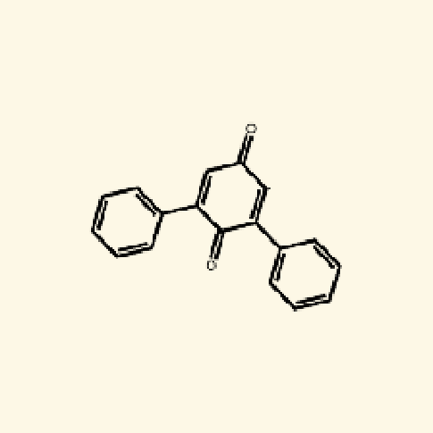 O=C1[C]=C(c2ccccc2)C(=O)C(c2ccccc2)=C1